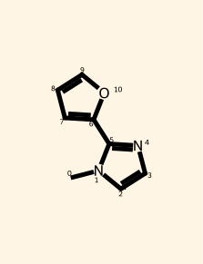 Cn1[c]cnc1-c1ccco1